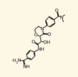 CN(C)C(=O)c1ccc(N2CCO[C@H]([C@@H](O)C(=O)Nc3ccc(C(=N)N)cc3)C2=O)cc1